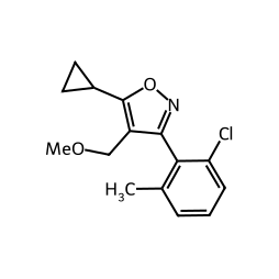 COCc1c(-c2c(C)cccc2Cl)noc1C1CC1